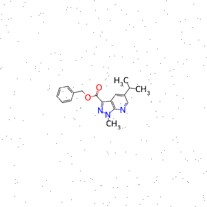 CC(C)c1cnc2c(c1)c(C(=O)OCc1ccccc1)nn2C